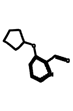 O=Cc1ncccc1OC1CCCC1